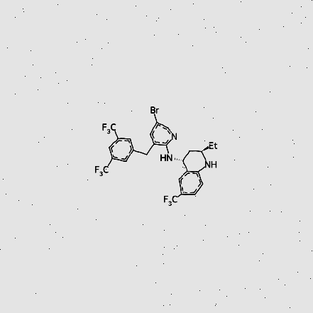 CC[C@@H]1C[C@@H](Nc2ncc(Br)cc2Cc2cc(C(F)(F)F)cc(C(F)(F)F)c2)c2cc(C(F)(F)F)ccc2N1